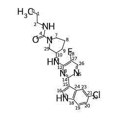 CCCNC(=O)N1CCCC(Nc2nc(-c3c[nH]c4ccc(Cl)cc34)ncc2F)C1